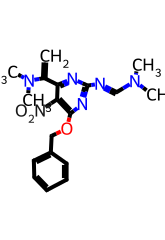 C=C(c1nc(N=CN(C)C)nc(OCc2ccccc2)c1[N+](=O)[O-])N(C)C